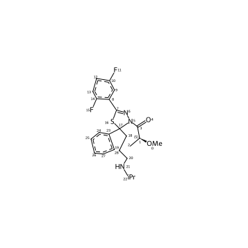 CO[C@@H](C)C(=O)N1N=C(c2cc(F)ccc2F)SC1(CCCNC(C)C)c1ccccc1